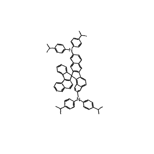 CC(C)c1ccc(N(c2ccc(C(C)C)cc2)c2ccc3cc4c(cc3c2)C2(c3ccccc3-c3c2ccc2ccccc32)c2c-4ccc3cc(N(c4ccc(C(C)C)cc4)c4ccc(C(C)C)cc4)ccc23)cc1